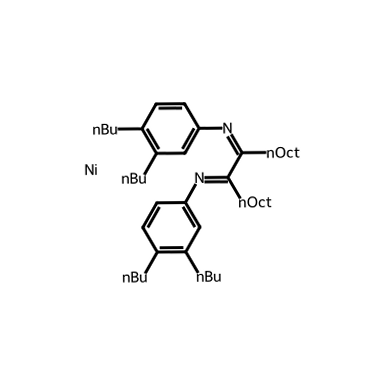 CCCCCCCCC(=Nc1ccc(CCCC)c(CCCC)c1)C(CCCCCCCC)=Nc1ccc(CCCC)c(CCCC)c1.[Ni]